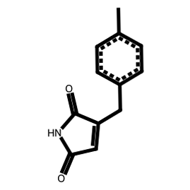 Cc1ccc(CC2=CC(=O)NC2=O)cc1